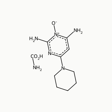 NC(=O)O.Nc1cc(N2CCCCC2)nc(N)[n+]1[O-]